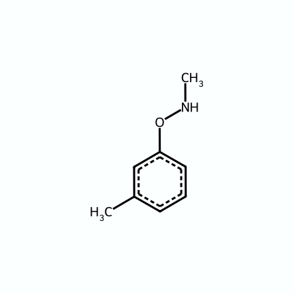 CNOc1cccc(C)c1